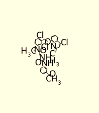 CCc1cc(Cl)c2cccc(OCc3c(Cl)ccc(N(C)C(=O)CNC(=O)Nc4cccc(C(C)=O)c4)c3Cl)c2n1